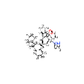 CNCC1C=COC1(c1ccccc1)c1ccccc1.c1ccc2c(c1)ccc1c3c(ccc12)CCCC3